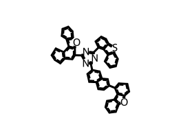 c1ccc2c(c1)cc(-c1nc(-c3ccc4ccc(-c5cccc6oc7ccccc7c56)cc4c3)nc(-c3cccc4sc5ccccc5c34)n1)c1oc3ccccc3c12